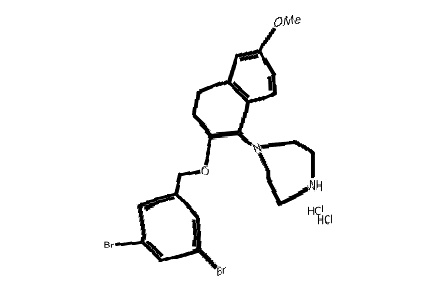 COc1ccc2c(c1)CCC(OCc1cc(Br)cc(Br)c1)C2N1CCNCC1.Cl.Cl